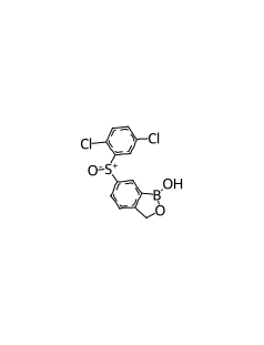 [O-][S+](c1ccc2c(c1)B(O)OC2)c1cc(Cl)ccc1Cl